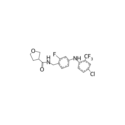 O=C(NCc1ccc(Nc2ccc(Cl)cc2C(F)(F)F)cc1F)C1CCOC1